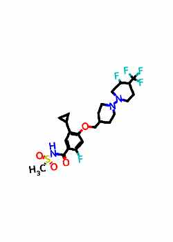 CS(=O)(=O)NC(=O)c1cc(C2CC2)c(OCC2CCN(N3CCC(C(F)(F)F)C(F)C3)CC2)cc1F